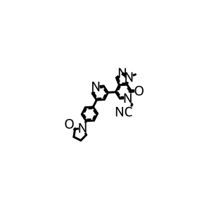 Cn1ncc2c(-c3cncc(-c4ccc(N5CCCC5=O)cc4)c3)cn(CC#N)c(=O)c21